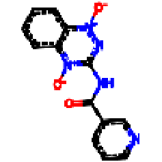 O=C(Nc1n[n+]([O-])c2ccccc2[n+]1[O-])c1cccnc1